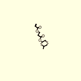 C=CC(=O)OCCC(=O)OC1CSCC(C)S1